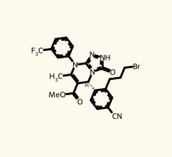 COC(=O)C1=C(C)N(c2cccc(C(F)(F)F)c2)c2n[nH]c(=O)n2[C@@H]1c1ccc(C#N)cc1CCCBr